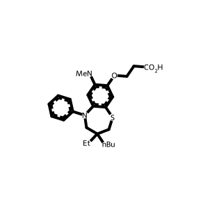 CCCCC1(CC)CSc2cc(OCCC(=O)O)c(NC)cc2N(c2ccccc2)C1